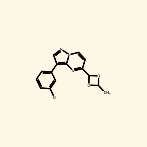 CC1OC(c2ccn3ncc(-c4cccc(Cl)c4)c3n2)O1